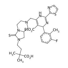 CCOC(=O)C1=C(CN2CCN3C(=S)N(CCC(C)(C)C(=O)O)CC3C2)NC(c2nccs2)=NC1c1cccc(F)c1C